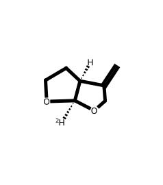 [2H][C@]12OCC[C@H]1C(=C)CO2